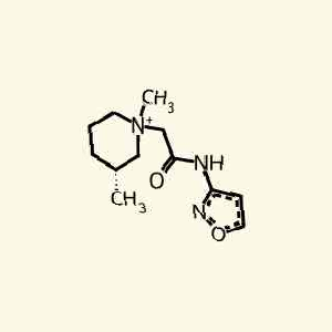 C[C@@H]1CCC[N+](C)(CC(=O)Nc2ccon2)C1